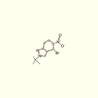 CC(C)(C)n1cc2c(Br)c([N+](=O)[O-])ccc2n1